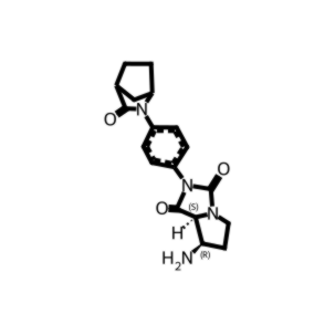 N[C@@H]1CCN2C(=O)N(c3ccc(N4C(=O)C5CCC4C5)cc3)C(=O)[C@H]12